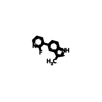 Cc1[c][nH]c2ccc(-c3cccnc3F)cc12